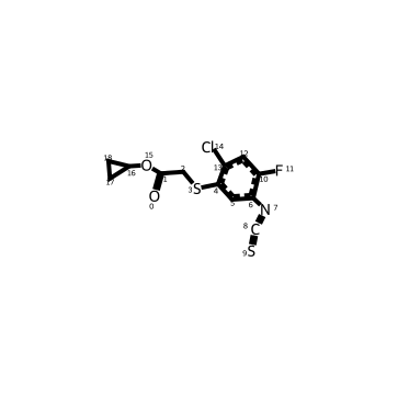 O=C(CSc1cc(N=C=S)c(F)cc1Cl)OC1CC1